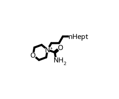 CCCCCCCCCC[N+]1(C(N)=O)CCOCC1